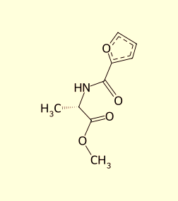 COC(=O)[C@H](C)NC(=O)c1ccco1